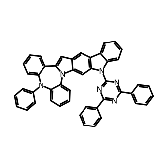 c1ccc(-c2nc(-c3ccccc3)nc(-n3c4ccccc4c4cc5cc6n(c5cc43)-c3ccccc3N(c3ccccc3)c3ccccc3-6)n2)cc1